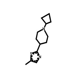 Cc1cnc(C2CCN(C3CCC3)CC2)s1